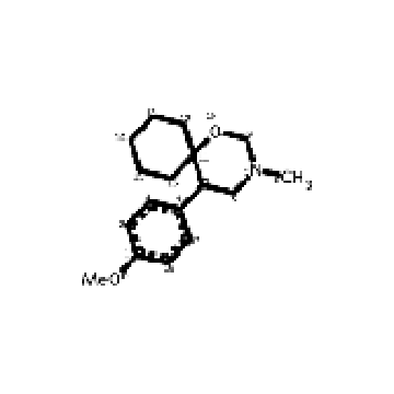 COc1ccc(C2CN(C)COC23CCCCC3)cc1